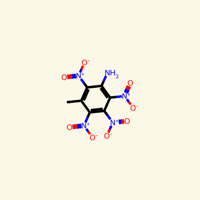 Cc1c([N+](=O)[O-])c(N)c([N+](=O)[O-])c([N+](=O)[O-])c1[N+](=O)[O-]